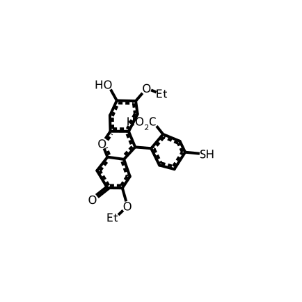 CCOc1cc2c(-c3ccc(S)cc3C(=O)O)c3cc(OCC)c(=O)cc-3oc2cc1O